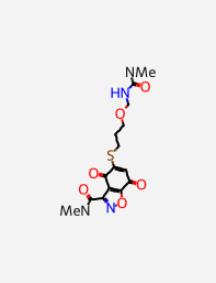 CNC(=O)NCOCCCSC1=CC(=O)c2onc(C(=O)NC)c2C1=O